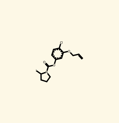 C=CCOc1cc(OC(=O)N2CCCC2I)ccc1Cl